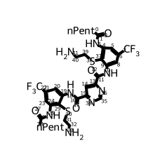 CCCCCC(=O)Nc1cc(C(F)(F)F)cc(NC(=O)c2cc(C(=O)Nc3cc(C(F)(F)F)cc(NC(=O)CCCCC)c3SCCN)ncn2)c1SCCN